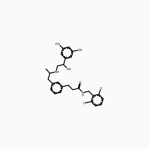 CC(Cc1cccc(CCC(=O)NCc2c(Cl)cccc2Cl)c1)NCC(O)c1cc(O)cc(O)c1